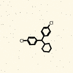 Clc1ccc(C(c2ccc(Cl)cc2)C2CCCCC2)cc1